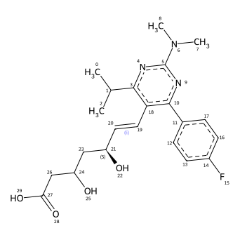 CC(C)c1nc(N(C)C)nc(-c2ccc(F)cc2)c1/C=C/[C@@H](O)CC(O)CC(=O)O